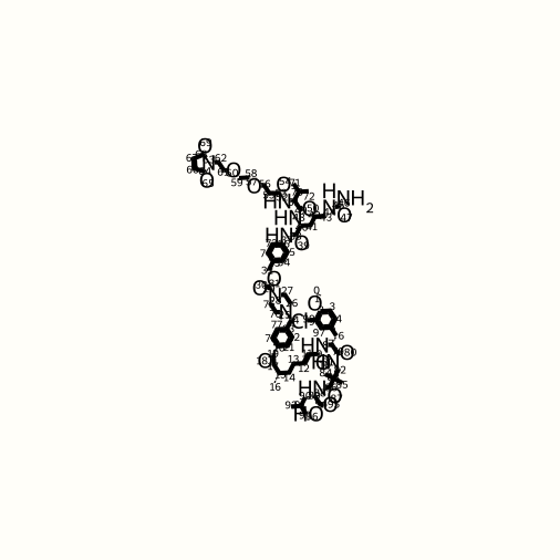 COc1ccc(C[C@@H](NC(=O)/C=C/CC[C@H](C)[C@H]2O[C@@H]2c2ccc(CN3CCN(C(=O)OCc4ccc(NC(=O)C(CCCNC(N)=O)NC(=O)[C@@H](NC(=O)CCOCCOCCN5C(=O)C=CC5=O)C(C)C)cc4)CC3)cc2)C(=O)NCC(C)(C)C(=O)N[C@@H](CC(C)C)C(=O)O)cc1Cl